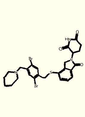 O=C1CCC(N2Cc3c(SCc4cc(Br)c(CN5CCCCC5)cc4Br)cccc3C2=O)C(=O)N1